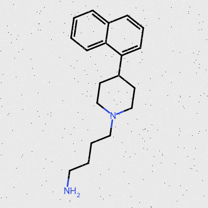 NCCCCN1CCC(c2cccc3ccccc23)CC1